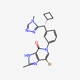 Cc1nc2c(Br)cn(-c3cccc([C@H](c4nncn4C)C4CCC4)c3)c(=O)c2[nH]1